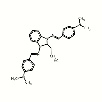 CCC1N(N=Cc2ccc(N(C)C)cc2)c2ccccc2N1N=Cc1ccc(N(C)C)cc1.Cl